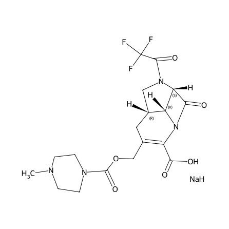 CN1CCN(C(=O)OCC2=C(C(=O)O)N3C(=O)[C@@H]4[C@H]3[C@H](C2)CN4C(=O)C(F)(F)F)CC1.[NaH]